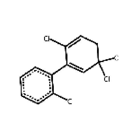 ClC1=CCC(Cl)(Cl)C=C1c1ccccc1Cl